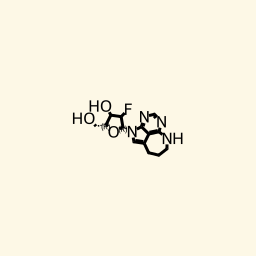 OC[C@H]1O[C@@H](n2cc3c4c(ncnc42)NCCC3)C(F)C1O